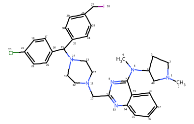 CN1CCC(N(C)c2nc(CN3CCN(C(c4ccc(Cl)cc4)c4ccc(CI)cc4)CC3)nc3ccccc23)C1